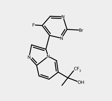 CC(O)(c1ccc2ncc(-c3nc(Br)ncc3F)n2c1)C(F)(F)F